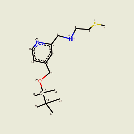 CSCCNCc1cc(CO[Si](C)(C)C(C)(C)C)ccn1